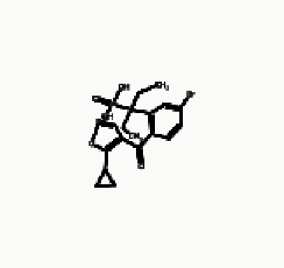 CCC(CC)(c1cc(Br)ccc1C(=O)c1cnoc1C1CC1)P(=O)(O)O